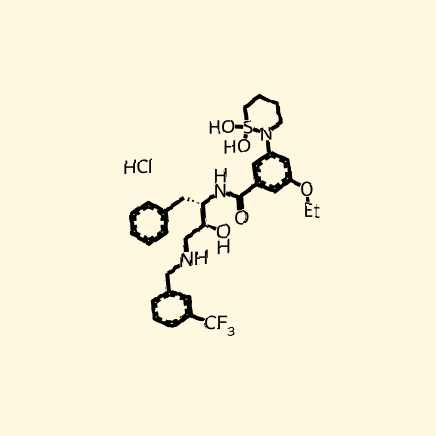 CCOc1cc(C(=O)N[C@@H](Cc2ccccc2)[C@@H](O)CNCc2cccc(C(F)(F)F)c2)cc(N2CCCCS2(O)O)c1.Cl